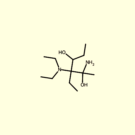 CCC(O)C(CC)(N(CC)CC)C(C)(N)O